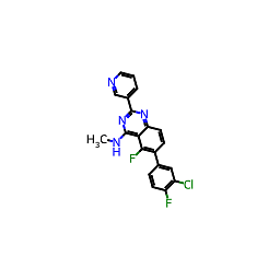 CNc1nc(-c2cccnc2)nc2ccc(-c3ccc(F)c(Cl)c3)c(F)c12